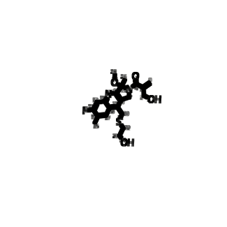 C=C(CO)C(=O)N1Cc2c(nc3cc(F)c(C)cc3c2CSCCO)C1(C)OC